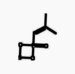 CC(C)=CP1(=O)OSO1